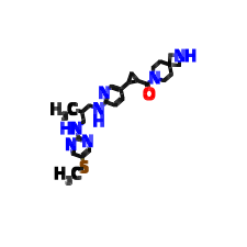 CSc1cnc(NCC(C)CNc2ccc(C3CC3C(=O)N3CCC4(CC3)CNC4)cn2)nc1